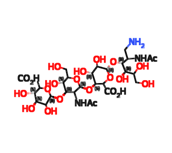 CC(=O)NC(CN)[C@@H](O[C@@H]1OC(C(=O)O)[C@@H](O[C@@H]2OC(CO)[C@@H](O)[C@H](O[C@@H]3OC(C(=O)O)[C@@H](O)[C@H](O)C3O)C2NC(C)=O)[C@H](O)C1O)[C@H](O)C(O)CO